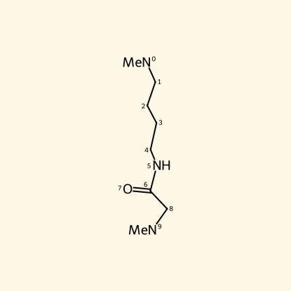 CNCCCCNC(=O)CNC